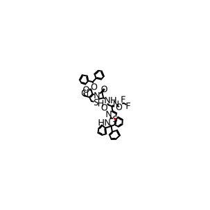 O=C(NC1C(=O)N2C(C(=O)OC(c3ccccc3)c3ccccc3)=C(CCl)CS[C@@H]12)C(=NOC(F)F)c1csc(NC(c2ccccc2)(c2ccccc2)c2ccccc2)n1